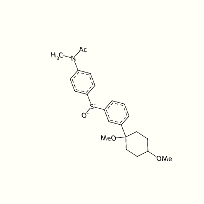 COC1CCC(OC)(c2cccc([S+]([O-])c3ccc(N(C)C(C)=O)cc3)c2)CC1